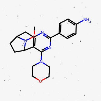 CON1C2CCC1c1c(nc(-c3ccc(N)cc3)nc1N1CCOCC1)C2